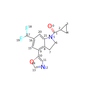 O=C(C1CC1)N1CCc2c(-c3cnco3)cc(C(F)F)cc21